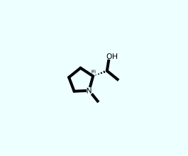 CC(O)[C@H]1CCCN1C